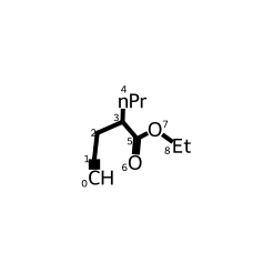 C#CCC(CCC)C(=O)OCC